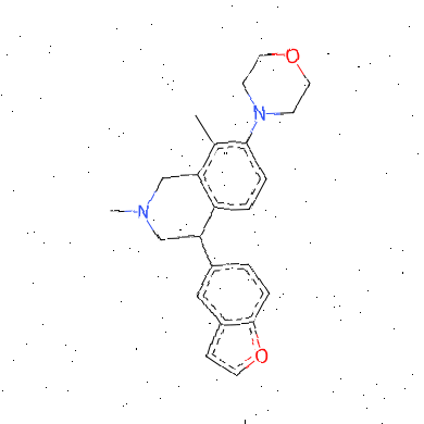 Cc1c(N2CCOCC2)ccc2c1CN(C)CC2c1ccc2occc2c1